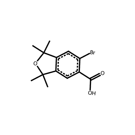 CC1(C)OC(C)(C)c2cc(C(=O)O)c(Br)cc21